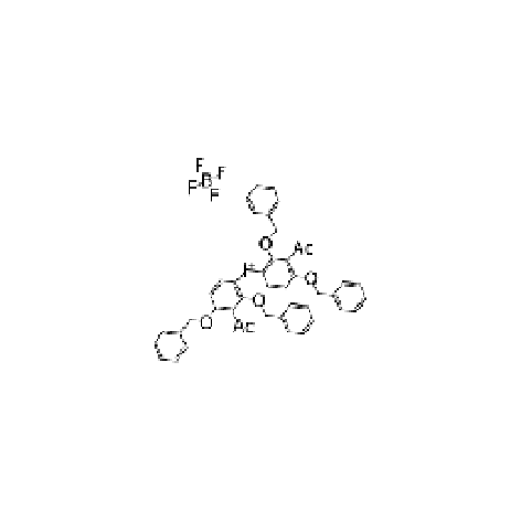 CC(=O)c1c(OCc2ccccc2)ccc([I+]c2ccc(OCc3ccccc3)c(C(C)=O)c2OCc2ccccc2)c1OCc1ccccc1.F[B-](F)(F)F